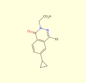 CCc1nn(CC(=O)O)c(=O)c2ccc(C3CC3)cc12